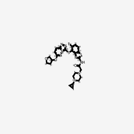 O=C(CN1CCN(C2CC2)CC1)Nc1nc2c(Sc3nnc4ccc(OC5CCOC5)nn34)c(F)ccc2s1